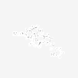 COc1cc(C2(NC(=O)c3cc(OC[C@@H]4CCCN4)ccc3C)CC2)c2cccnc2c1